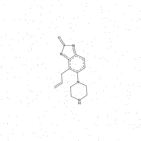 C=CCc1c(N2CCNCC2)ccc2c1=NC(=O)N=2